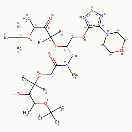 CCC(CC)(OC(C)C(=O)C(CC)(CC)OCC(=O)N(C[C@@H](COc1nsnc1N1CCOCC1)OC(CC)(CC)C(=O)C(C)OC(CC)(CC)C(C)=O)C(C)(C)C)C(C)=O